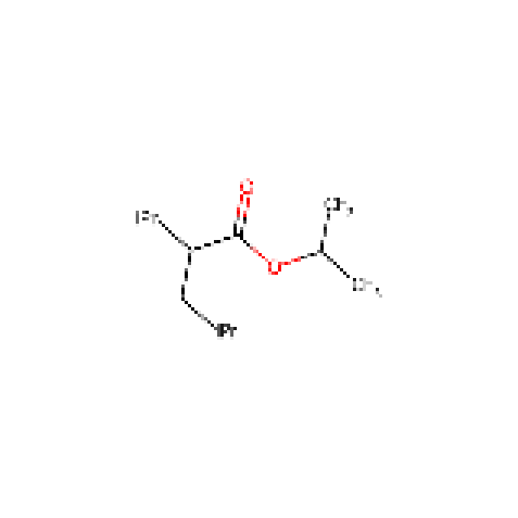 CC(C)CC(C(=O)OC(C(F)(F)F)C(F)(F)F)C(C)C